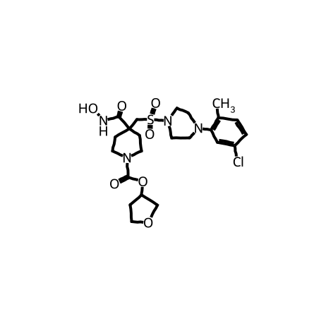 Cc1ccc(Cl)cc1N1CCN(S(=O)(=O)CC2(C(=O)NO)CCN(C(=O)OC3CCOC3)CC2)CC1